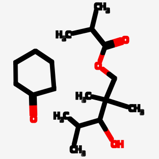 CC(C)C(=O)OCC(C)(C)C(O)C(C)C.O=C1CCCCC1